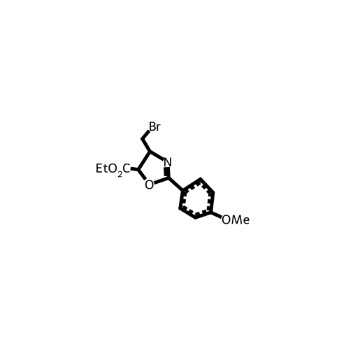 CCOC(=O)C1OC(c2ccc(OC)cc2)=NC1CBr